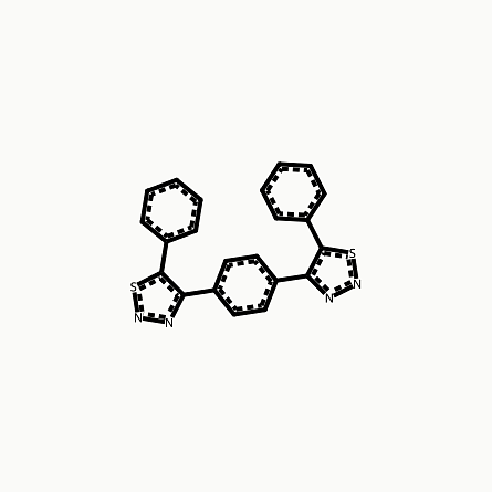 c1ccc(-c2snnc2-c2ccc(-c3nnsc3-c3ccccc3)cc2)cc1